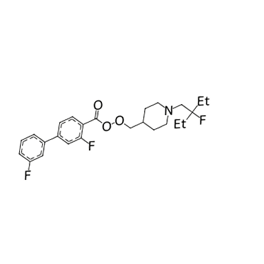 CCC(F)(CC)CN1CCC(COOC(=O)c2ccc(-c3cccc(F)c3)cc2F)CC1